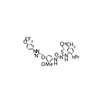 C#CCS/C(=N\C(=O)Nc1ccc(OCc2ncn(-c3ccc(OC(F)(F)F)cc3)n2)cc1OC)Nc1cc(C)ccc1CCC